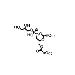 CCCCCCCCC(=O)OC[C@H](COP(=O)(O)OCC(O)CO)OC(=O)CCCCCCCC